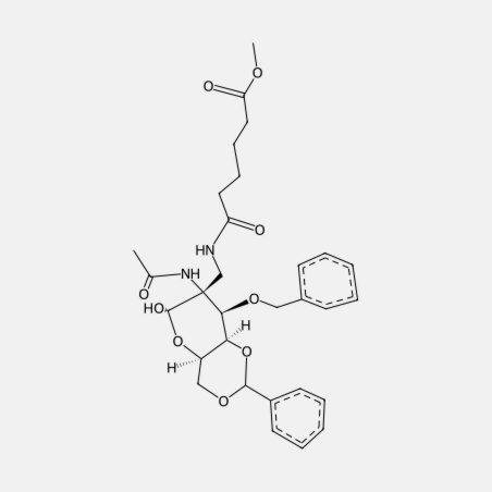 COC(=O)CCCCC(=O)NC[C@]1(NC(C)=O)[C@@H](O)O[C@@H]2COC(c3ccccc3)O[C@@H]2[C@@H]1OCc1ccccc1